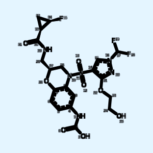 O=C(O)Nc1ccc2c(c1)N(S(=O)(=O)c1cn(C(F)F)nc1OCCO)C[C@H](CNC(=O)[C@H]1C[C@H]1F)O2